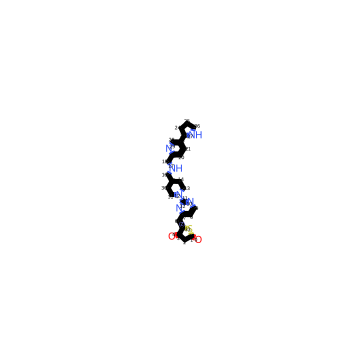 O=C1CC(=O)/C(=C/c2ccnc(N3CCC(CNCc4ccc(C5CCCN5)cn4)CC3)n2)S1